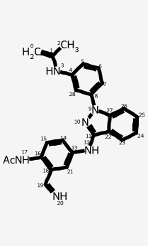 C=C(C)Nc1cccc(-n2nc(Nc3ccc(NC(C)=O)c(C=N)c3)c3ccccc32)c1